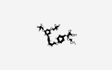 CCO[C@@H](Cc1ccc(OC/C=C\C#Cc2cc(OCC(F)(F)F)cc(OCC(F)(F)F)c2)cc1)C(=O)O